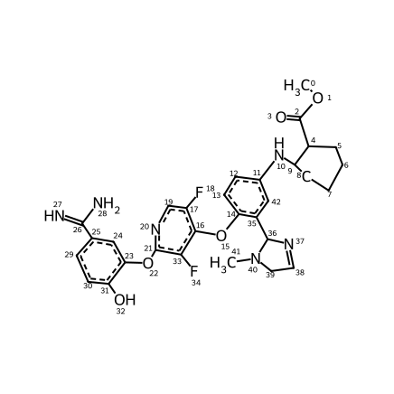 COC(=O)C1CCCCC1Nc1ccc(Oc2c(F)cnc(Oc3cc(C(=N)N)ccc3O)c2F)c(C2N=CCN2C)c1